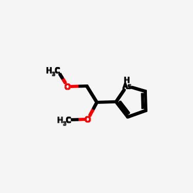 COCC(OC)C1=CC=C[AsH]1